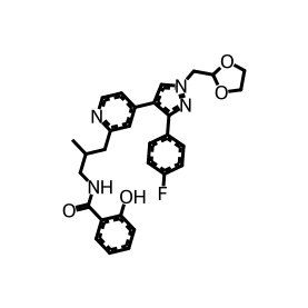 CC(CNC(=O)c1ccccc1O)Cc1cc(-c2cn(CC3OCCO3)nc2-c2ccc(F)cc2)ccn1